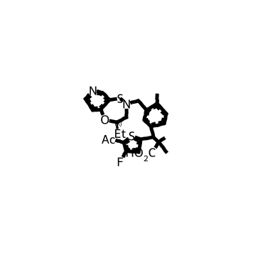 CC[C@@H]1CN(Cc2cc(C(c3cc(F)c(C(C)=O)s3)C(C)(C)C(=O)O)ccc2C)Sc2cnccc2O1